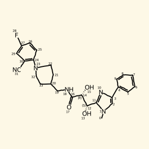 Cn1cc(-c2ccccc2)nc1[C@H](O)[C@@H](O)C(=O)NCC1CCN(c2ccc(F)cc2C#N)CC1